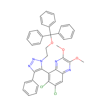 COc1nc2cc(Cl)c(Cl)c(-c3c(-c4ccccc4)nnn3CCOC(c3ccccc3)(c3ccccc3)c3ccccc3)c2nc1OC